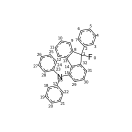 FC1(c2ccccc2)c2ccccc2-c2c(N(c3ccccc3)c3ccccc3)cccc21